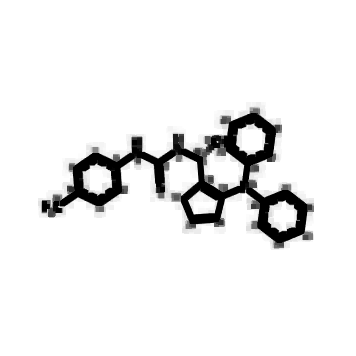 C[C@@H](NC(=S)Nc1ccc(C(F)(F)F)cc1)C1=C(P(c2ccccc2)c2ccccc2)C=CC1